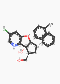 N#Cc1ccc([C@@]23Oc4cc(Cl)cnc4[C@]2(O)[C@H](CO)C[C@H]3c2ccccc2)cc1